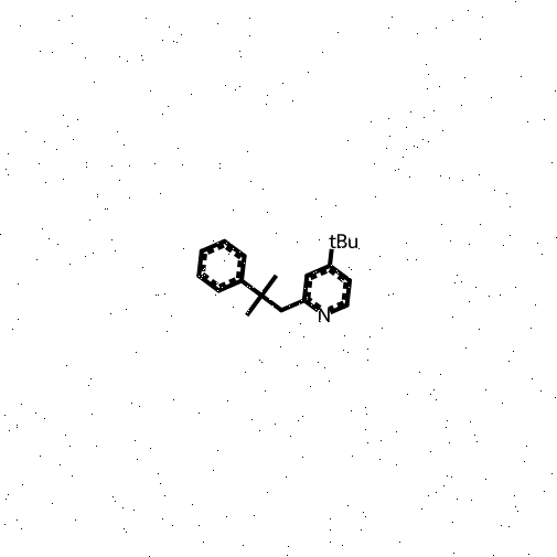 CC(C)(C)c1ccnc(CC(C)(C)c2ccccc2)c1